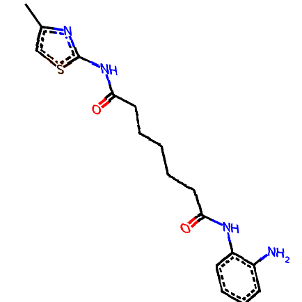 Cc1csc(NC(=O)CCCCCC(=O)Nc2ccc(F)cc2N)n1